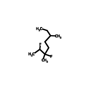 CCC(C)CCC(C)(F)C(C)F